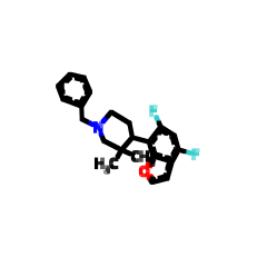 CC1(C)CN(Cc2ccccc2)CCC1c1c(F)cc(F)c2ccoc12